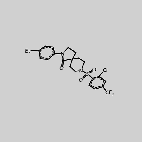 CCc1ccc(N2CCC3(CCN(S(=O)(=O)c4ccc(C(F)(F)F)cc4Cl)CC3)C2=O)cc1